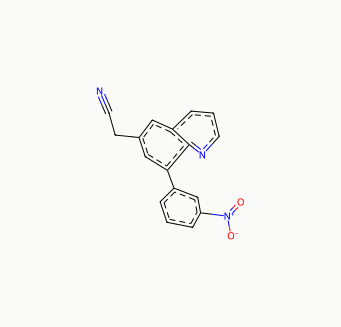 N#CCc1cc(-c2cccc([N+](=O)[O-])c2)c2ncccc2c1